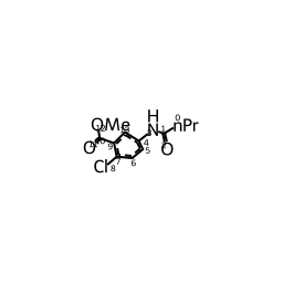 CCCC(=O)Nc1ccc(Cl)c(C(=O)OC)c1